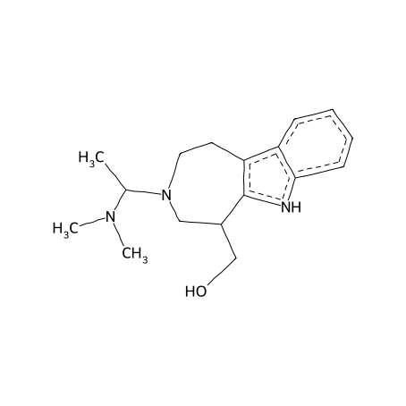 CC(N(C)C)N1CCc2c([nH]c3ccccc23)C(CO)C1